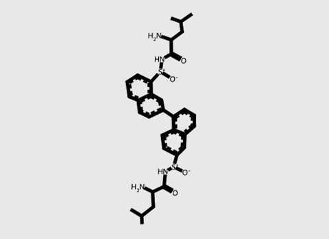 CC(C)CC(N)C(=O)N[S+]([O-])c1ccc2c(-c3ccc4cccc([S+]([O-])NC(=O)C(N)CC(C)C)c4c3)cccc2c1